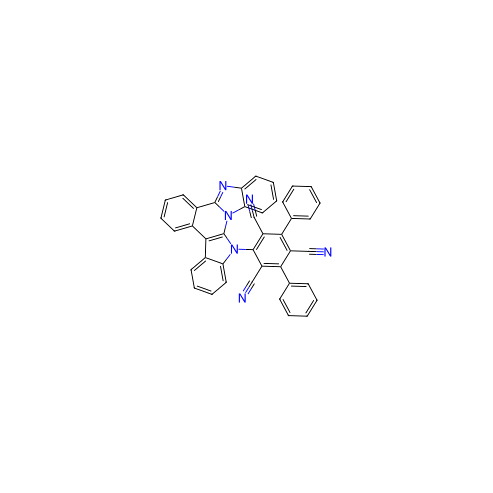 N#Cc1c(-c2ccccc2)c(C#N)c(-n2c3ccccc3c3c4ccccc4c4nc5ccccc5n4c32)c(C#N)c1-c1ccccc1